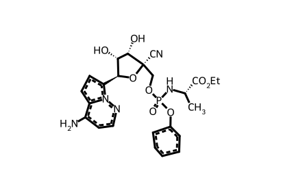 CCOC(=O)[C@H](C)NP(=O)(OC[C@@]1(C#N)O[C@@H](c2ccc3c(N)ccnn23)[C@H](O)[C@@H]1O)Oc1ccccc1